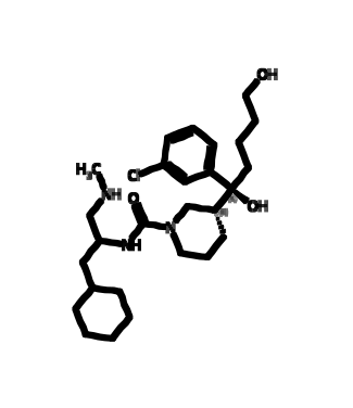 CNCC(CC1CCCCC1)NC(=O)N1CCC[C@@H]([C@@](O)(CCCCO)c2cccc(Cl)c2)C1